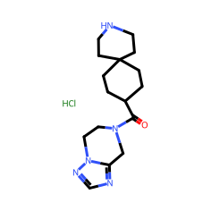 Cl.O=C(C1CCC2(CCNCC2)CC1)N1CCn2ncnc2C1